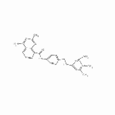 Cc1cc(N)c2cccc(C(=O)Nc3ccc(CNc4cc(C)[n+](C)c(N)n4)cc3)c2n1